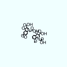 COc1cccc2c(=O)c(C(=O)O)cn(CC(=O)O)c12.O=C(O)Cn1cc(C(=O)O)c(=O)c2cc3c(cc21)OCO3